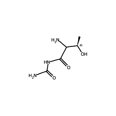 C[C@@H](O)C(N)C(=O)NC(N)=O